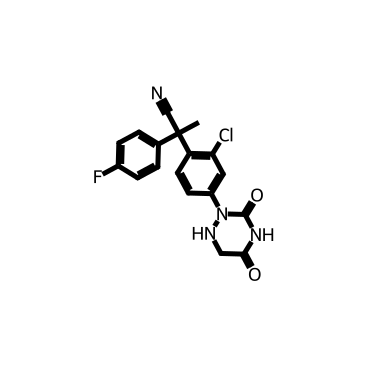 CC(C#N)(c1ccc(F)cc1)c1ccc(N2NCC(=O)NC2=O)cc1Cl